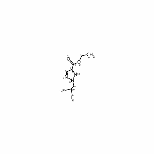 CCOC(=O)c1cnn(CC(F)F)n1